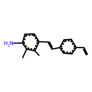 C=Cc1ccc(/C=C/c2ccc(N)c(C)c2C)cc1